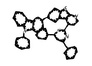 c1ccc(-c2cc(-c3ccccc3)nc(-c3ccnc4sc5ccc(-c6ccc7c(c6)c6ccccc6n7-c6ccccc6)cc5c34)n2)cc1